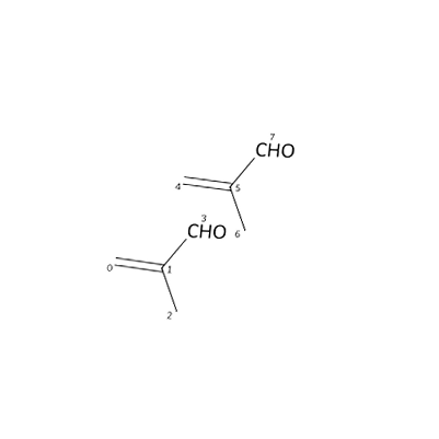 C=C(C)C=O.C=C(C)C=O